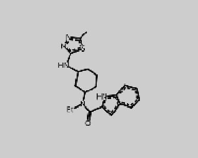 CCN(C(=O)c1cc2ccccc2[nH]1)C1CCCC(Nc2nnc(C)s2)C1